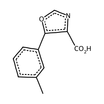 Cc1cccc(-c2ocnc2C(=O)O)c1